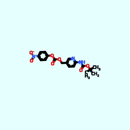 CC(C)(C)OC(=O)Nc1ccc(COC(=O)Oc2ccc([N+](=O)[O-])cc2)cn1